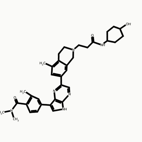 Cc1cc(-c2c[nH]c3ncc(-c4cc(C)c5c(c4)CN(CCC(=O)NC4CCC(O)CC4)CC5)nc23)ccc1C(=O)N(C)C